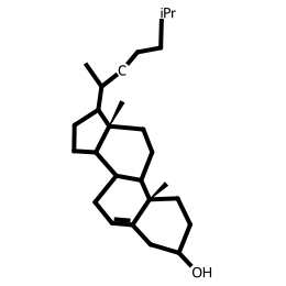 CC(C)CCCC(C)C1CCC2C3CC=C4CC(O)CC[C@@]4(C)C3CC[C@@]12C